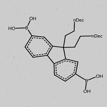 CCCCCCCCCCCCC1(CCCCCCCCCCCC)c2cc(B(O)O)ccc2-c2ccc(B(O)O)cc21